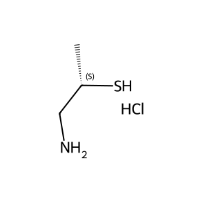 C[C@H](S)CN.Cl